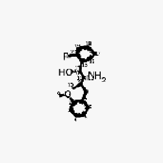 COc1ccccc1CC(C)[C@@H](N)[C@H](O)c1ccccc1F